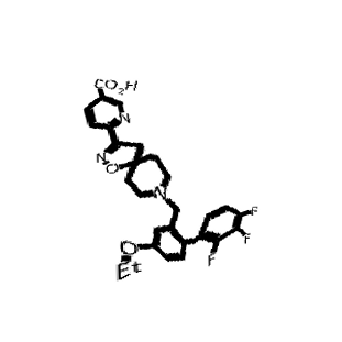 CCOc1ccc(-c2ccc(F)c(F)c2F)c(CN2CCC3(CC2)CC(c2ccc(C(=O)O)cn2)=NO3)c1